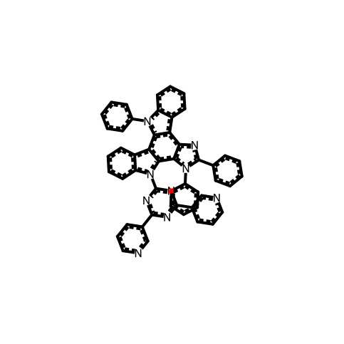 c1ccc(-c2nc3c4c5ccccc5n(-c5ccccc5)c4c4c5ccccc5n(-c5nc(-c6cccnc6)nc(-c6cccnc6)n5)c4c3n2-c2ccccc2)cc1